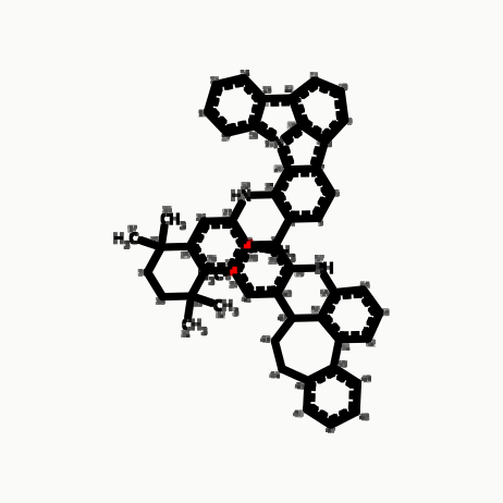 Cc1cc(-c2ccc3c4cccc5c6ccccc6n(c3c2Nc2cc3c(cc2C)C(C)(C)CCC3(C)C)c54)c2c(c1)C1CCc3ccccc3-c3cccc(c31)B2